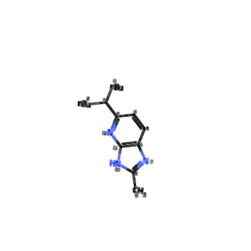 CCCCC(CCCC)c1ccc2nc(C)[nH]c2n1